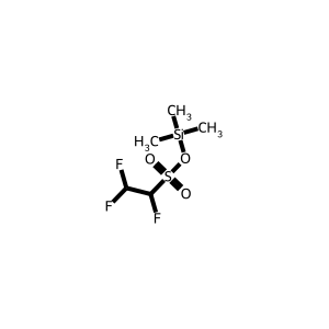 C[Si](C)(C)OS(=O)(=O)C(F)C(F)F